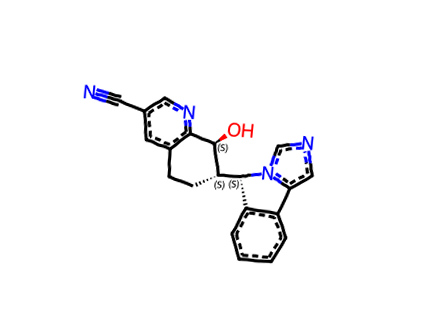 N#Cc1cnc2c(c1)CC[C@@H]([C@H]1c3ccccc3-c3cncn31)[C@@H]2O